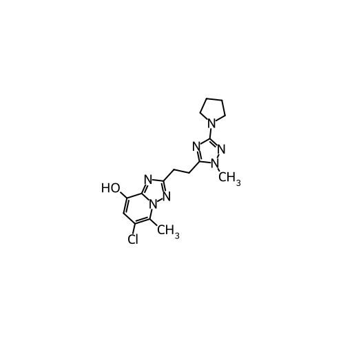 Cc1c(Cl)cc(O)c2nc(CCc3nc(N4CCCC4)nn3C)nn12